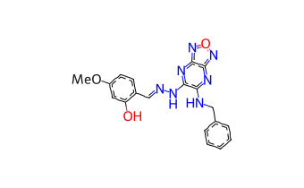 COc1ccc(C=NNc2nc3nonc3nc2NCc2ccccc2)c(O)c1